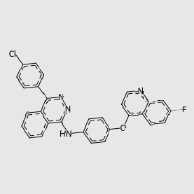 Fc1ccc2c(Oc3ccc(Nc4nnc(-c5ccc(Cl)cc5)c5ccccc45)cc3)ccnc2c1